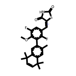 COc1c(F)cc(/C=C2/SC(=O)NC2=O)c(F)c1-c1cc2c(cc1C)C(C)(C)C=CC2(C)C